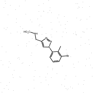 Cc1c(Br)cccc1-n1cc(CNC(=O)O)nn1